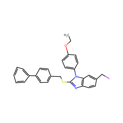 CCOc1ccc(-n2c(SCc3ccc(-c4ccccc4)cc3)nc3ccc(CI)cc32)cc1